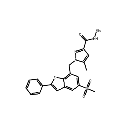 Cc1cc(C(=O)NC(C)(C)C)nn1Cc1cc(S(C)(=O)=O)cc2cc(-c3ccccc3)oc12